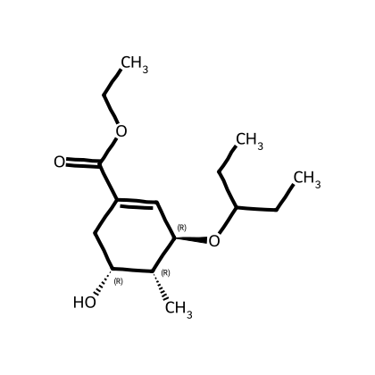 CCOC(=O)C1=C[C@@H](OC(CC)CC)[C@H](C)[C@H](O)C1